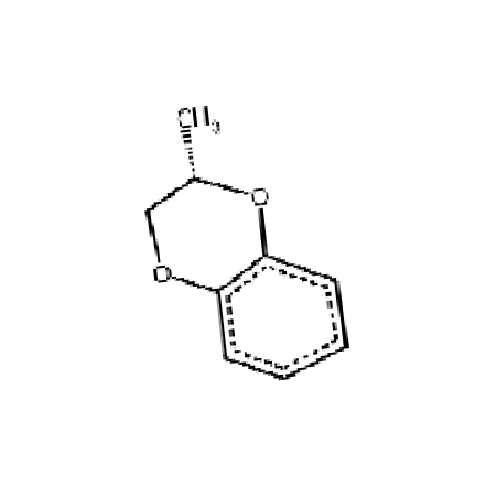 C[C@H]1COc2ccccc2O1